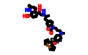 C=C1C=Cc2c([C@@H](O)CNC(C)Cc3ccc4c(c3)oc(=O)n4CCCN(C)[C@H]3CC[C@H](OC(C(=O)O)(c4cccs4)c4cccs4)CC3)ccc(O)c2N1